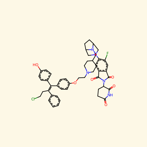 O=C1CCC(N2C(=O)c3cc(F)c(N4CC5CCC(C4)N5CC4CCN(CCOc5ccc(C(=C(CCCl)c6ccccc6)c6ccc(O)cc6)cc5)CC4)cc3C2=O)C(=O)N1